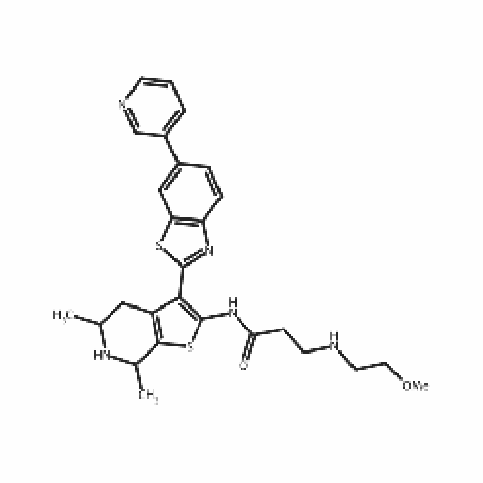 COCCNCCC(=O)Nc1sc2c(c1-c1nc3ccc(-c4cccnc4)cc3s1)CC(C)NC2C